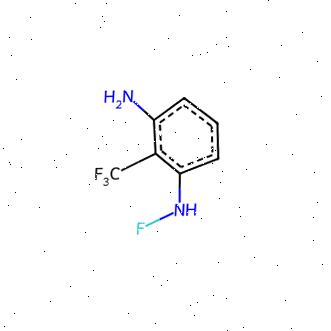 Nc1cccc(NF)c1C(F)(F)F